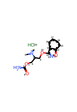 CN(C)C(COC(N)=O)COc1noc2ccccc12.Cl